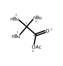 CCCCC(CCCC)(CCCC)C(=O)OC(C)=O